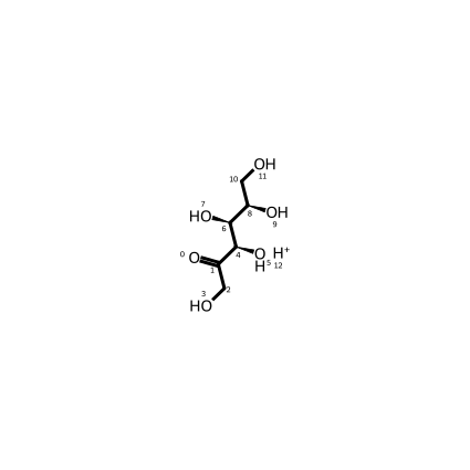 O=C(CO)[C@H](O)[C@@H](O)[C@H](O)CO.[H+]